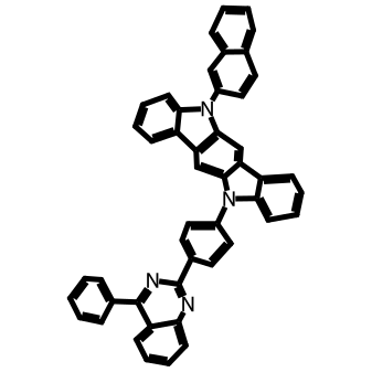 c1ccc(-c2nc(-c3ccc(-n4c5ccccc5c5cc6c(cc54)c4ccccc4n6-c4ccc5ccccc5c4)cc3)nc3ccccc23)cc1